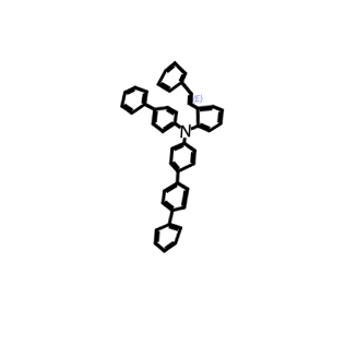 C(=C\c1ccccc1N(c1ccc(-c2ccccc2)cc1)c1ccc(-c2ccc(-c3ccccc3)cc2)cc1)/c1ccccc1